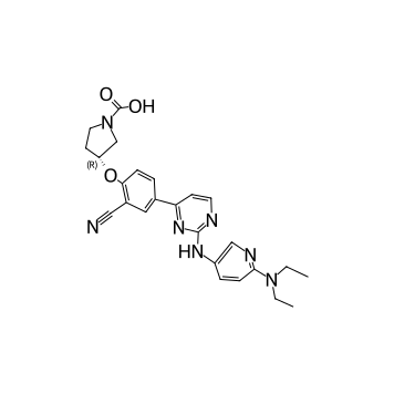 CCN(CC)c1ccc(Nc2nccc(-c3ccc(O[C@@H]4CCN(C(=O)O)C4)c(C#N)c3)n2)cn1